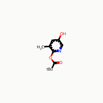 Cc1cc(O)cnc1OC(=O)C(C)(C)C